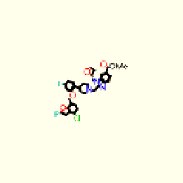 COC(=O)c1ccc2nc(CN3CCC(c4ccc(F)cc4OCc4ccc(Cl)c5cc(F)oc45)CC3)n(C[C@@H]3CCO3)c2c1